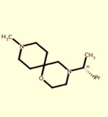 CC(C)[C@@H](C)N1CCOC2(CCN(C)CC2)C1